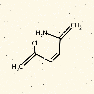 C=C(N)/C=C\C(=C)Cl